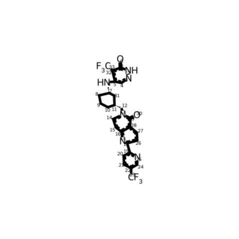 O=c1[nH]ncc(N[C@H]2CCC[C@@H](Cn3ccc4nc(-c5ccc(C(F)(F)F)cn5)ccc4c3=O)C2)c1C(F)(F)F